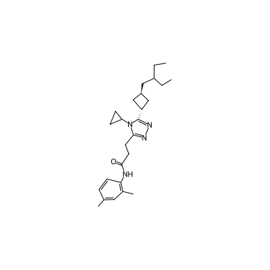 CCC(CC)C[C@H]1C[C@H](c2nnc(CCC(=O)Nc3ccc(C)cc3C)n2C2CC2)C1